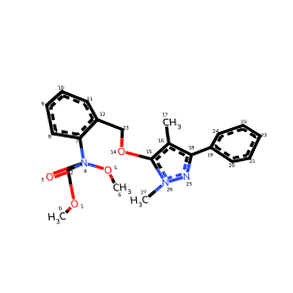 COC(=O)N(OC)c1ccccc1COc1c(C)c(-c2ccccc2)nn1C